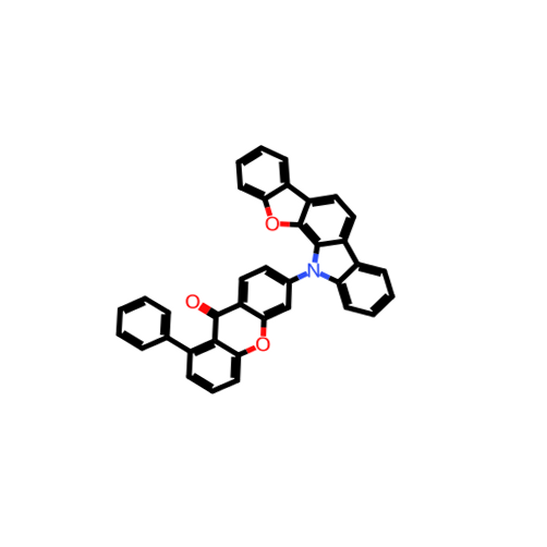 O=c1c2ccc(-n3c4ccccc4c4ccc5c6ccccc6oc5c43)cc2oc2cccc(-c3ccccc3)c12